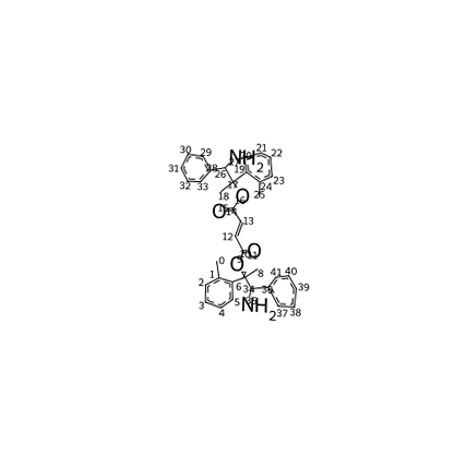 Cc1ccccc1C(C)(OC(=O)/C=C/C(=O)OC(C)(c1ccccc1C)C(N)c1ccccc1)C(N)c1ccccc1